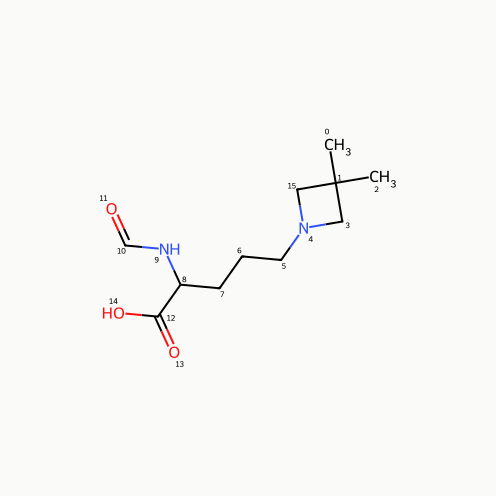 CC1(C)CN(CCCC(NC=O)C(=O)O)C1